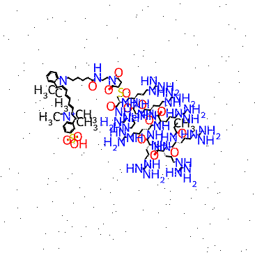 CCC(=O)N[C@H](CCCNC(=N)N)C(=O)N[C@H](CCCNC(=N)N)C(=O)N[C@H](CCCNC(=N)N)C(=O)N[C@H](CCCNC(=N)N)C(=O)N[C@H](CCCNC(=N)N)C(=O)N[C@H](CCCNC(=N)N)C(=O)N[C@H](CCCNC(=N)N)C(=O)N[C@H](CCCNC(=N)N)C(=O)N[C@H](CSC1CC(=O)N(CCNC(=O)CCCCCN2/C(=C/C=C/C=C/C3=[N+](CC)c4ccc(S(=O)(=O)O)cc4C3(C)C)C(C)(C)c3ccccc32)C1=O)C(N)=O